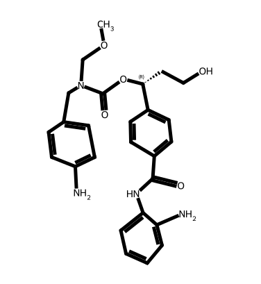 COCN(Cc1ccc(N)cc1)C(=O)O[C@H](CCO)c1ccc(C(=O)Nc2ccccc2N)cc1